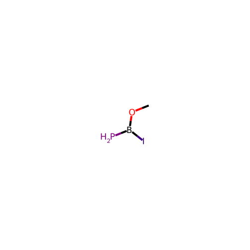 COB(P)I